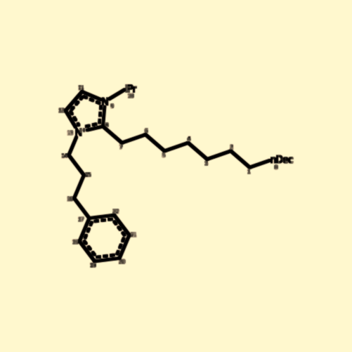 CCCCCCCCCCCCCCCCCc1n(C(C)C)cc[n+]1CCCc1ccccc1